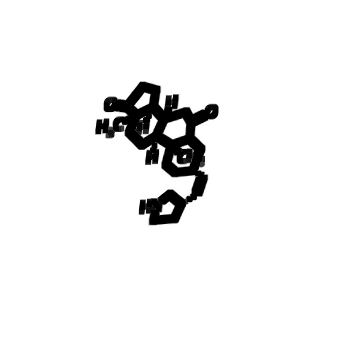 C[C@]12CC[C@@H](/C=C\[C@@H]3CCNC3)CC1C(=O)C[C@@H]1[C@@H]2CC[C@]2(C)C(=O)CC[C@@H]12